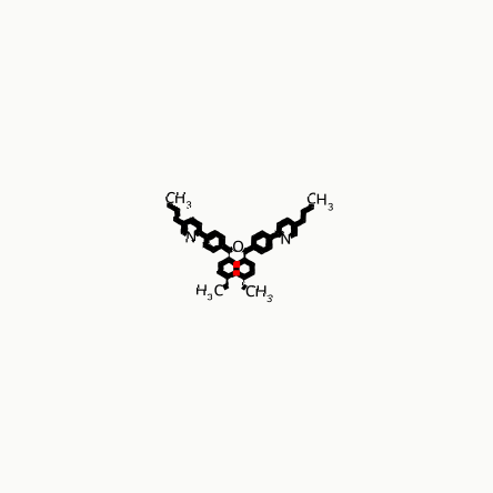 CCCCc1ccc(-c2ccc(C(OC(c3ccc(-c4ccc(CCCC)cn4)cc3)[C@H]3CC[C@H](CC)CC3)[C@H]3CC[C@H](CC)CC3)cc2)nc1